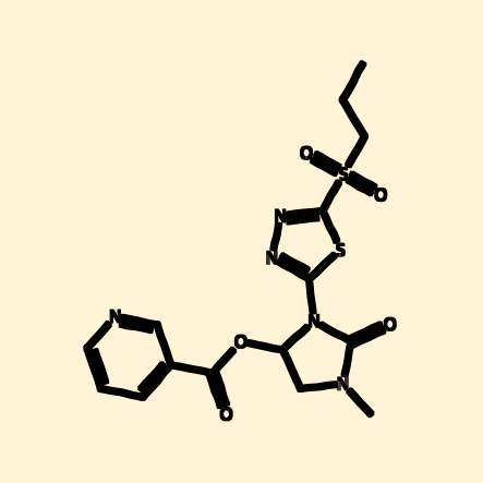 CCCS(=O)(=O)c1nnc(N2C(=O)N(C)CC2OC(=O)c2cccnc2)s1